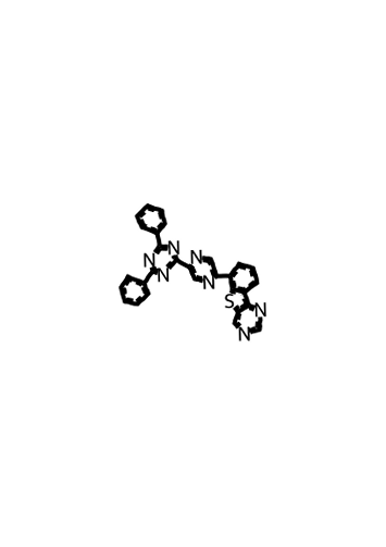 c1ccc(-c2nc(-c3ccccc3)nc(-c3cnc(-c4cccc5c4sc4cncnc45)cn3)n2)cc1